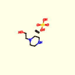 C=C.O=S(=O)(O)O.OCCN1CCNCC1